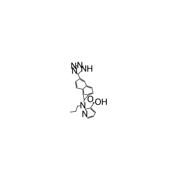 CCCN(c1ncccc1C(=O)O)C1c2ccc3cc(-c4nnn[nH]4)ccc3c21